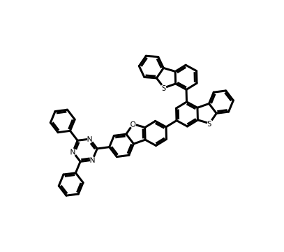 c1ccc(-c2nc(-c3ccccc3)nc(-c3ccc4c(c3)oc3cc(-c5cc(-c6cccc7c6sc6ccccc67)c6c(c5)sc5ccccc56)ccc34)n2)cc1